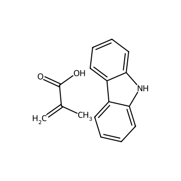 C=C(C)C(=O)O.c1ccc2c(c1)[nH]c1ccccc12